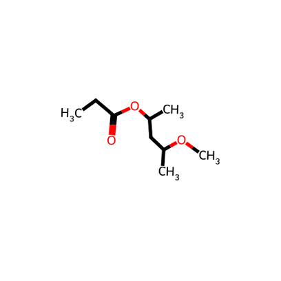 CCC(=O)OC(C)CC(C)OC